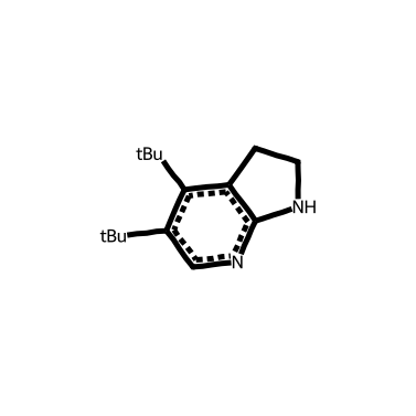 CC(C)(C)c1cnc2c(c1C(C)(C)C)CCN2